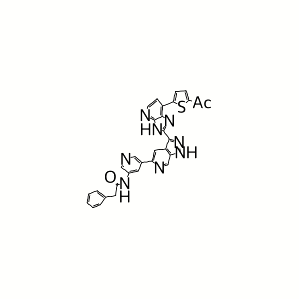 CC(=O)c1ccc(-c2ccnc3[nH]c(-c4n[nH]c5cnc(-c6cncc(NC(=O)Cc7ccccc7)c6)cc45)nc23)s1